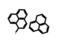 C1=Cc2cccc3cccc(c23)C1.IC1C=Cc2cccc3cccc1c23